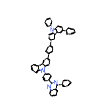 c1ccc(-c2ccc3c(c2)c2cc(-c4ccc(-c5ccc6c(c5)c5ccccc5n6-c5ccc(-c6nc(-c7ccccc7)c7ccccc7n6)cc5)cc4)ccc2n3-c2ccccc2)cc1